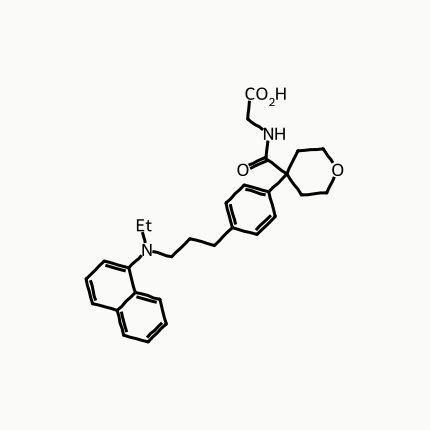 CCN(CCCc1ccc(C2(C(=O)NCC(=O)O)CCOCC2)cc1)c1cccc2ccccc12